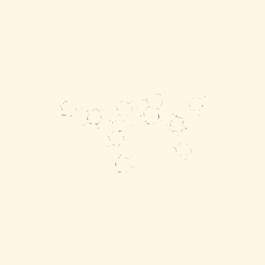 Cc1cc(-c2nc(-c3ccccc3)nc(-c3ccccc3)n2)c2ccccc2c1-c1cccc(N(c2ccc(-c3ccccc3)cc2)c2ccc(-c3ccccc3)cc2)c1C